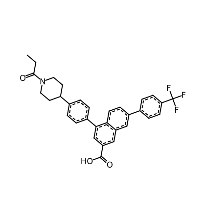 CCC(=O)N1CCC(c2ccc(-c3cc(C(=O)O)cc4cc(-c5ccc(C(F)(F)F)cc5)ccc34)cc2)CC1